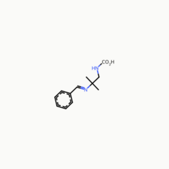 CC(C)(CNC(=O)O)N=Cc1ccccc1